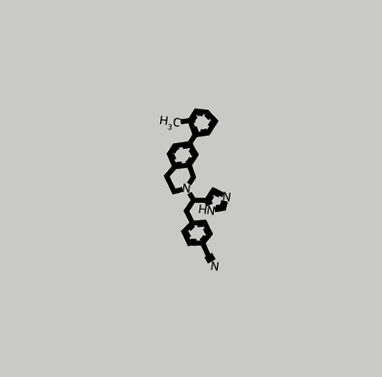 Cc1ccccc1-c1ccc2c(c1)CN(C(Cc1ccc(C#N)cc1)c1cnc[nH]1)CC2